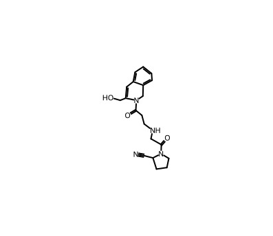 N#CC1CCCN1C(=O)CNCCC(=O)N1Cc2ccccc2C=C1CO